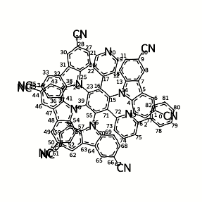 N#Cc1ccc2c(c1)c1cc(C#N)ccc1n2-c1c(-c2ccncc2)c(-n2c3ccc(C#N)cc3c3cc(C#N)ccc32)c(-n2c3ccc(C#N)cc3c3cc(C#N)ccc32)c(-n2c3ccc(C#N)cc3c3cc(C#N)ccc32)c1-c1cccc(-c2ccccc2)n1